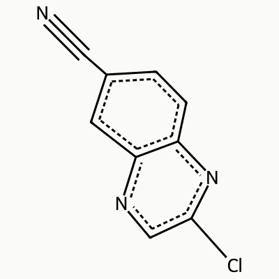 N#Cc1ccc2nc(Cl)cnc2c1